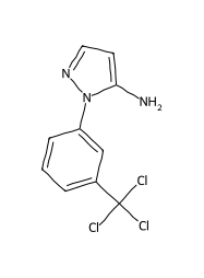 Nc1ccnn1-c1cccc(C(Cl)(Cl)Cl)c1